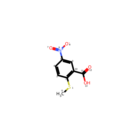 CSc1ccc([N+](=O)[O-])cc1C(=O)O